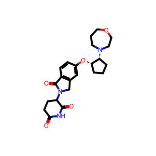 O=C1CCC(N2Cc3cc(O[C@H]4CCC[C@H]4N4CCCOCC4)ccc3C2=O)C(=O)N1